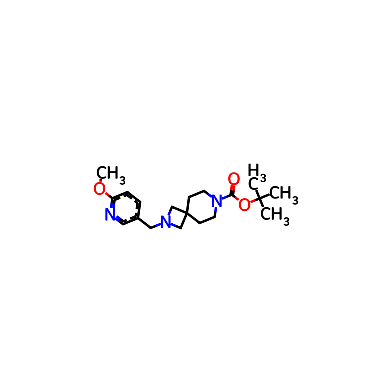 COc1ccc(CN2CC3(CCN(C(=O)OC(C)(C)C)CC3)C2)cn1